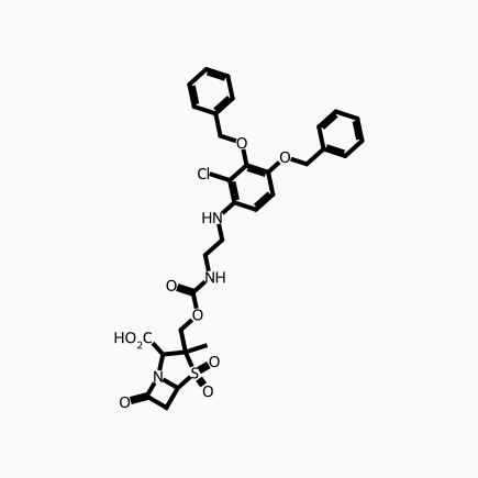 CC1(COC(=O)NCCNc2ccc(OCc3ccccc3)c(OCc3ccccc3)c2Cl)C(C(=O)O)N2C(=O)CC2S1(=O)=O